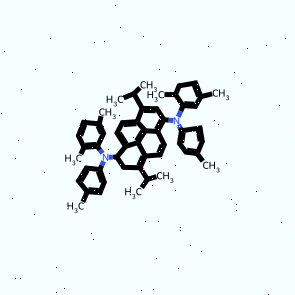 CC1=CCC(C)C(N(c2ccc(C)cc2)c2cc(C(C)C)c3ccc4c5c(ccc2c35)=C(C(C)C)CC4N(c2ccc(C)cc2)c2cc(C)ccc2C)=C1